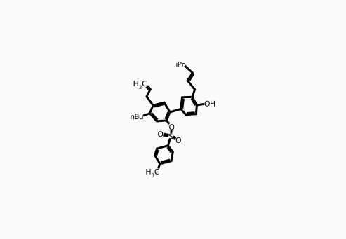 C=CCc1cc(-c2ccc(O)c(C/C=C/C(C)C)c2)c(OS(=O)(=O)c2ccc(C)cc2)cc1CCCC